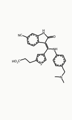 CN(C)Cc1ccc(N/C(=C2\C(=O)Nc3cc(C#N)ccc32)c2csc(CCC(=O)O)c2)cc1